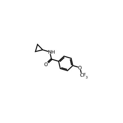 O=C(NC1CC1)c1ccc(OC(F)(F)F)cc1